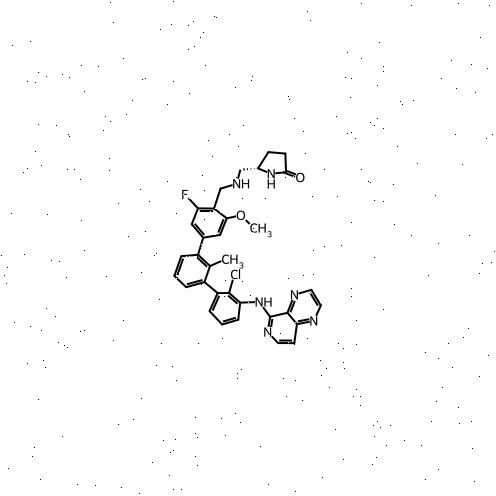 COc1cc(-c2cccc(-c3cccc(Nc4nccc5nccnc45)c3Cl)c2C)cc(F)c1CNC[C@@H]1CCC(=O)N1